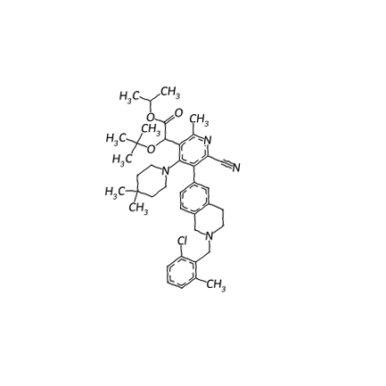 Cc1cccc(Cl)c1CN1CCc2cc(-c3c(C#N)nc(C)c(C(OC(C)(C)C)C(=O)OC(C)C)c3N3CCC(C)(C)CC3)ccc2C1